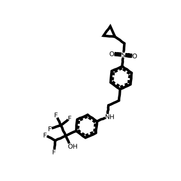 O=S(=O)(CC1CC1)c1ccc(CCNc2ccc(C(O)(C(F)F)C(F)(F)F)cc2)cc1